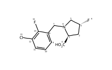 O=C(O)[C@@H]1C[C@@H](F)CN1Cc1cccc(Cl)c1F